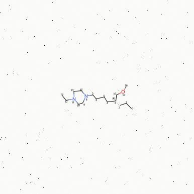 CCC[C@H](CCCCN1CCN(CC)CC1)COC